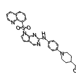 O=S(=O)(c1cccc2cccnc12)n1ccc2cnc(Nc3ccc(N4CCC(CO)CC4)cc3)nc21